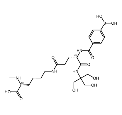 CN[C@@H](CCCCNC(=O)CC[C@H](NC(=O)c1ccc(B(O)O)cc1)C(=O)NC(CO)(CO)CO)C(=O)O